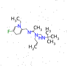 C=CCN(CNC(C)(C)C)/C(C)=N/CC1=CCC(F)=CN1CC